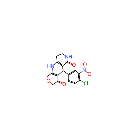 O=C1COCC2=C1C(c1ccc(Cl)c([N+](=O)[O-])c1)C1=C(CCNC1=O)N2